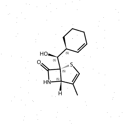 CC1=CS[C@@]2([C@@H](O)[C@@H]3C=CCCC3)C(=O)N[C@@H]12